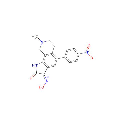 CN1CCc2c(-c3ccc([N+](=O)[O-])cc3)cc3c(c2C1)NC(=O)/C3=N\O